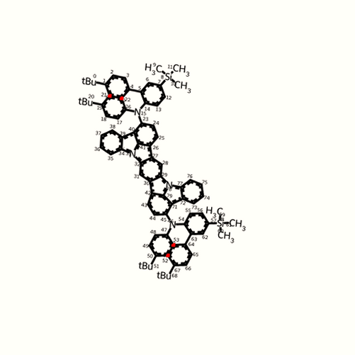 CC(C)(C)c1ccc(-c2cc([Si](C)(C)C)ccc2N(c2ccc(C(C)(C)C)cc2)c2ccc3c4cc5c(cc4n4c6ccccc6c2c34)c2ccc(N(c3ccc(C(C)(C)C)cc3)c3ccc([Si](C)(C)C)cc3-c3ccc(C(C)(C)C)cc3)c3c4ccccc4n5c23)cc1